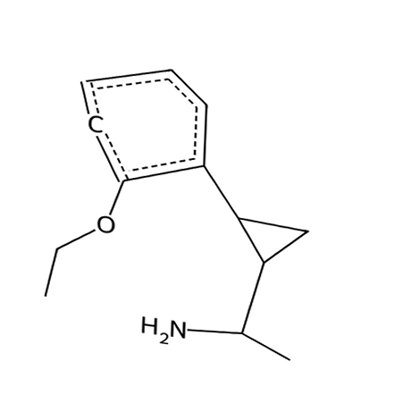 CCOc1ccccc1C1CC1C(C)N